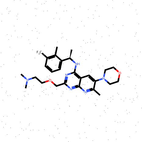 Cc1nc2nc(COCCN(C)C)nc(N[C@H](C)c3cccc(C(F)(F)F)c3C)c2cc1N1CCOCC1